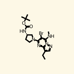 CCc1cnn2c(NC)c(Br)c(N3CC[C@H](NC(=O)OC(C)(C)C)C3)nc12